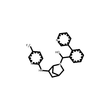 OC(c1ccccc1-c1cccnc1)N1CC2CC(Nc3ccc(C(F)(F)F)cn3)C1C2